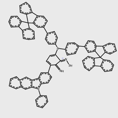 N=C1C(c2ccc3c(c2)c2cc4ccccc4cc2n3-c2ccccc2)=CC=C(N(c2ccc(-c3ccc4c(c3)C3(c5ccccc5-c5ccccc53)c3ccccc3-4)cc2)c2ccc(-c3ccc4c(c3)C3(c5ccccc5-c5ccccc53)c3ccccc3-4)cc2)/C1=N/S